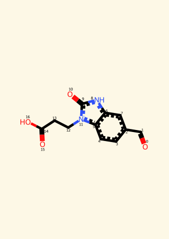 O=Cc1ccc2c(c1)[nH]c(=O)n2CCC(=O)O